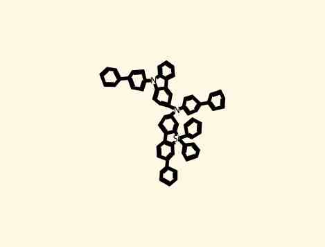 c1ccc(-c2ccc(N(c3ccc4c(c3)[Si](c3ccccc3)(c3ccccc3)c3cc(-c5ccccc5)ccc3-4)c3ccc4c(c3)c3ccccc3n4-c3ccc(-c4ccccc4)cc3)cc2)cc1